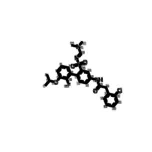 CC(C)Oc1cccc(-c2ccc(NC(=O)Cc3ccccc3Cl)cc2S(=O)(=O)N=CN(C)C)c1F